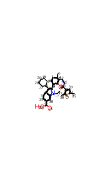 C=C(/C=C\c1c(C)ccc2c1OCCn1c-2c(C2CCCCC2)c2ccc(C(=O)O)cc21)c1cc(C)sc1C